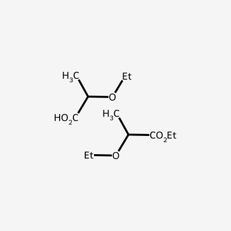 CCOC(=O)C(C)OCC.CCOC(C)C(=O)O